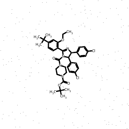 CCOc1cc(C(C)(C)C)ccc1C1=NC(c2ccc(Cl)cc2)C(c2ccc(Cl)cc2)N1C(=O)N1CCN(C(=O)OC(C)(C)C)CC1